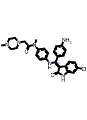 CN1CCN(CC(=O)N(C)c2ccc(N/C(=C3\C(=O)Nc4cc(Cl)ccc43)c3ccc(N)cc3)cc2)CC1